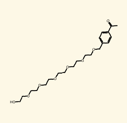 CC(=O)c1ccc(COCCOCCOCCOCCOCCOCCO)cc1